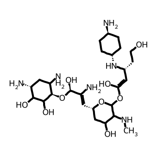 CNC1C(O)C[C@H](/C=C(\N)[C@H](O)O[C@@H]2C(N)C[C@@H](N)C(O)C2O)OC1O/C(O)=C/[C@@H](CCO)N[C@H]1CC[C@H](N)CC1